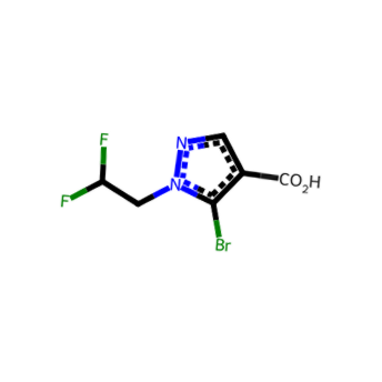 O=C(O)c1cnn(CC(F)F)c1Br